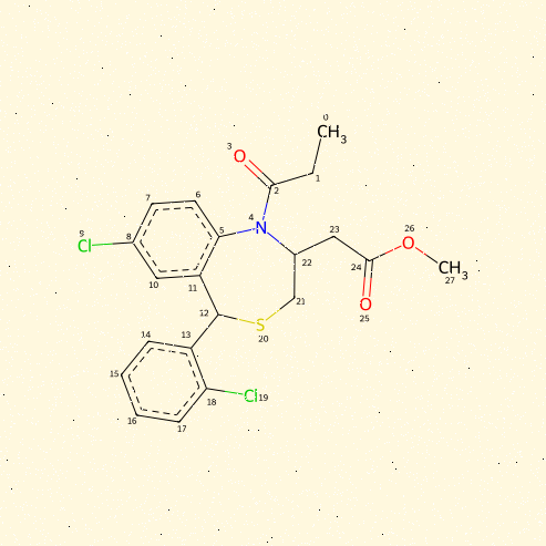 CCC(=O)N1c2ccc(Cl)cc2C(c2ccccc2Cl)SCC1CC(=O)OC